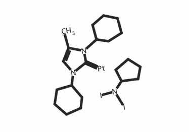 Cc1cn(C2CCCCC2)[c](=[Pt])n1C1CCCCC1.IN(I)C1CCCC1